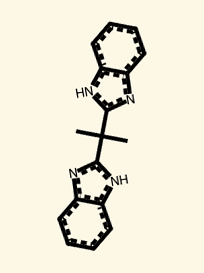 CC(C)(c1nc2ccccc2[nH]1)c1nc2ccccc2[nH]1